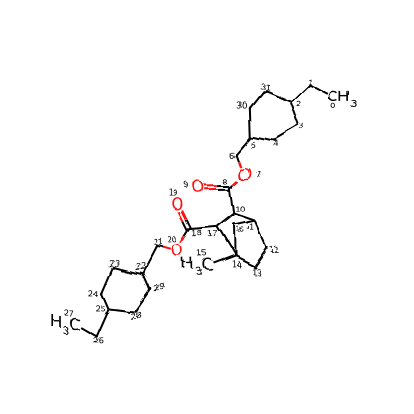 CCC1CCC(COC(=O)C2C3CCC(C)(C3)C2C(=O)OCC2CCC(CC)CC2)CC1